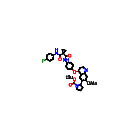 COc1cc2nccc(Oc3ccc(NC(=O)C4(C(=O)Nc5ccc(F)cc5)CC4)cc3)c2cc1-c1cccn1C(=O)OC(C)(C)C